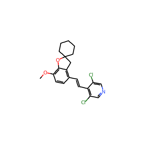 COc1ccc(C=Cc2c(Cl)cncc2Cl)c2c1OC1(CCCCC1)C2